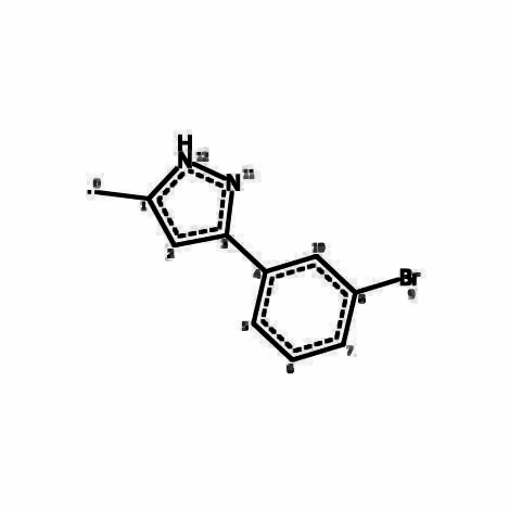 [CH2]c1cc(-c2cccc(Br)c2)n[nH]1